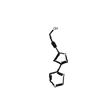 OCC#Cc1cc(-c2ccncn2)cs1